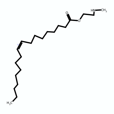 CCCCCCCC/C=C\CCCCCCCC(=O)OCCNC